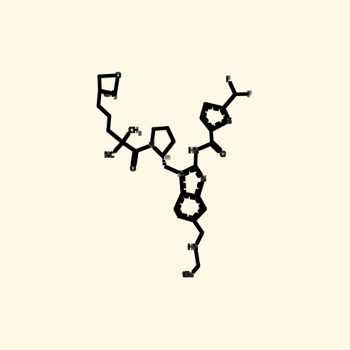 CC(C)(C)CNCc1ccc2c(c1)nc(NC(=O)c1ccc(C(F)F)s1)n2C[C@H]1CCCN1C(=O)C(C)(C#N)CCCC1(C)COC1